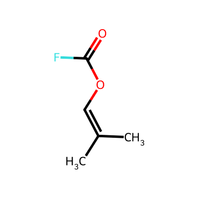 CC(C)=COC(=O)F